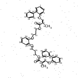 CC(=COc1ccccc1-c1ccccc1)C(=O)OCCCOc1ccccc1OCCCOC(=O)C(C)=COc1ccccc1-c1ccccc1